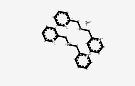 [Zn+2].c1ccc(CNCc2ccccn2)nc1.c1ccc(CNCc2ccccn2)nc1